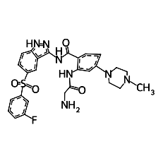 CN1CCN(c2ccc(C(=O)Nc3n[nH]c4ccc(S(=O)(=O)c5cccc(F)c5)cc34)c(NC(=O)CN)c2)CC1